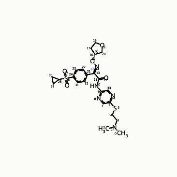 CN(C)CCSc1cnc(NC(=O)/C(=N/O[C@@H]2CCOC2)c2ccc(S(=O)(=O)C3CC3)cc2)cn1